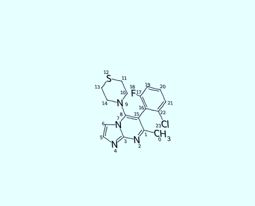 Cc1nc2nccn2c(N2CCSCC2)c1-c1c(F)cccc1Cl